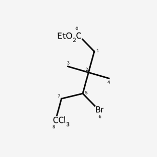 CCOC(=O)CC(C)(C)C(Br)CC(Cl)(Cl)Cl